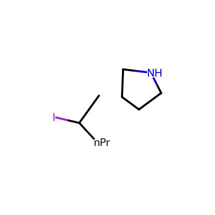 C1CCNC1.CCCC(C)I